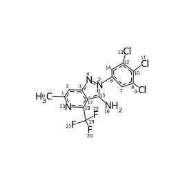 Cc1cc2nn(-c3cc(Cl)c(Cl)c(Cl)c3)c(N)c2c(C(F)(F)F)n1